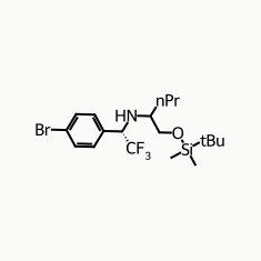 CCCC(CO[Si](C)(C)C(C)(C)C)N[C@@H](c1ccc(Br)cc1)C(F)(F)F